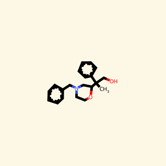 CC(CO)(c1ccccc1)C1CN(Cc2ccccc2)CCO1